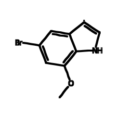 COc1cc(Br)cc2[c]c[nH]c12